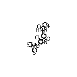 CN1CCCc2c1nc(N1CCC3(CC1)C(=O)N(C)c1cc(OC(C)(N4CCSCC4)N4CCSCC4)cc(Cl)c13)[nH]c2=O